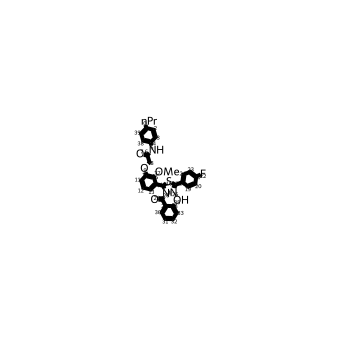 CCCc1ccc(NC(=O)COc2cccc(C3SC(c4ccc(F)cc4)=NN3C(=O)c3ccccc3O)c2OC)cc1